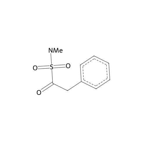 CNS(=O)(=O)C(=O)Cc1ccccc1